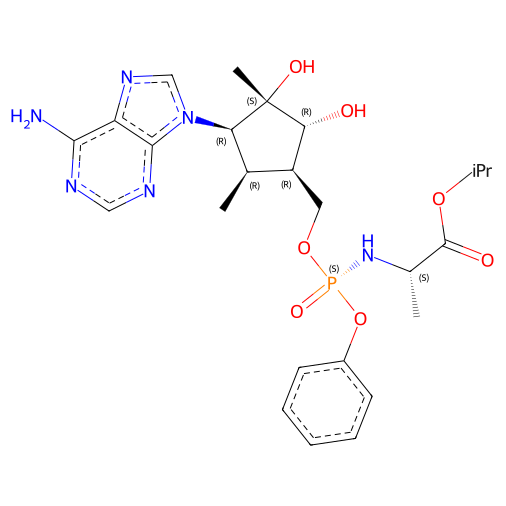 CC(C)OC(=O)[C@H](C)N[P@](=O)(OC[C@H]1[C@@H](C)[C@@H](n2cnc3c(N)ncnc32)[C@](C)(O)[C@@H]1O)Oc1ccccc1